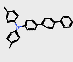 Cc1ccc(N(c2ccc(C)cc2)c2ccc(-c3ccc(-c4ccccc4)cc3)cc2)cc1